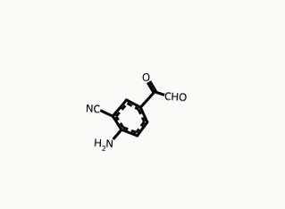 N#Cc1cc(C(=O)C=O)ccc1N